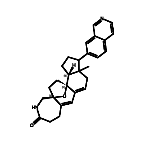 CC12CC=C3C=C4CCC(=O)NC[C@]45CC[C@]3(O5)[C@@H]1CCC2c1ccc2ccncc2c1